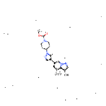 COc1cc(-c2cnn(C3CCN(C(=O)OC(C)(C)C)CC3)c2)cn2ncc(C#N)c12